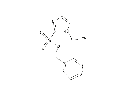 CC(C)Cn1ccnc1S(=O)(=O)OCc1ccccc1